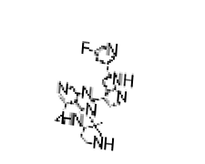 CC1(C)CNCCC1Nc1nc(-c2ccnc3[nH]c(-c4cncc(F)c4)cc23)nc2cncc(C3CC3)c12